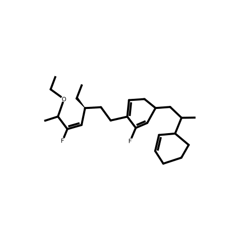 CCOC(C)/C(F)=C\[C@@H](CC)CCC1=CCC(CC(C)C2C=CCCC2)C=C1F